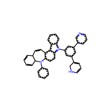 C1=CNCC(c2cc(-c3cccnc3)cc(-n3c4ccccc4c4c5c(ccc43)N(c3ccccc3)C3C=CC=CC3C=C5)c2)=C1